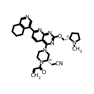 C=CC(=O)N1CCN(c2nc(OC[C@@H]3CCCN3C)nc3nc(-c4cncc5c4CCCC5)ccc23)C[C@@H]1CC#N